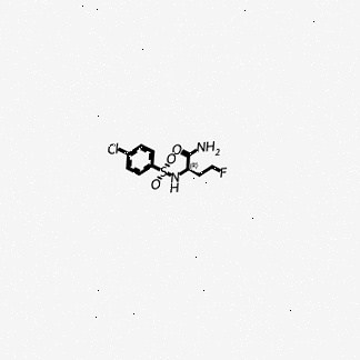 NC(=O)[C@@H](CCF)NS(=O)(=O)c1ccc(Cl)cc1